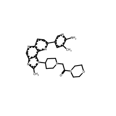 Cc1cc(-c2ccc3ncc4nc(C)n(C5CCN(CC(=O)N6CCOCC6)CC5)c4c3n2)cnc1N